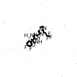 CC1(c2ccc(F)c(F)c2)C(=O)Nc2nc(-c3cn4ccnc4c(CCC(F)(F)F)n3)nc(N)c21